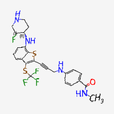 CNC(=O)c1ccc(NCC#Cc2sc3c(N[C@@H]4CCNC[C@@H]4F)cccc3c2SC(F)(F)F)cc1